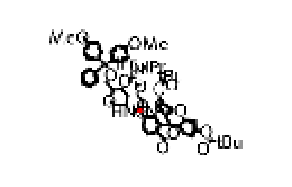 COc1ccc(C(OCC2OCC(NC(=O)c3ccc4c(c3)C3(OC4=O)c4ccc(OC(=O)C(C)(C)C)cc4Oc4cc(OC(=O)C(C)(C)C)ccc43)CC2OP(OCCC#N)N(C(C)C)C(C)C)(c2ccccc2)c2ccc(OC)cc2)cc1